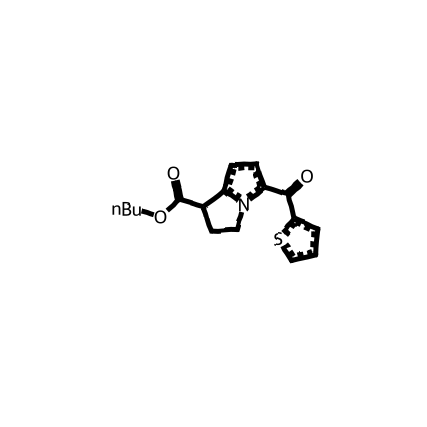 CCCCOC(=O)C1CCn2c(C(=O)c3cccs3)ccc21